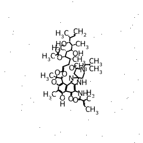 C=C[C@H](C)[C@H](O)[C@@H](C)[C@@H](O)[C@@H](C)[C@H](OC(C)=O)[C@H](C)[C@H](/C=C/O[C@@]1(C)Oc2c(C)c(O)c3c(c2C1=O)C1=NC2(CCN(CC(C)C)CC2)NC1=C(NC(=O)/C(C)=C/C)C3=O)OC